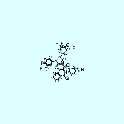 C[C@H](c1nc2ncccc2c(=O)n1-c1ccc(C#N)cc1)N(CCC1OCC(C)(C)CO1)C(=O)Cc1ccc(F)c(C(F)(F)F)c1